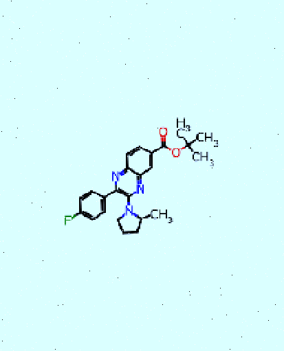 C[C@H]1CCCN1c1nc2cc(C(=O)OC(C)(C)C)ccc2nc1-c1ccc(F)cc1